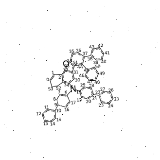 C1=Cc2c(c(N(C3=CCC(c4ccccc4)C=C3)c3ccc(-c4ccccc4)cc3)cc3c2oc2ccc(-c4ccccc4)c(-c4ccccc4)c23)CC1